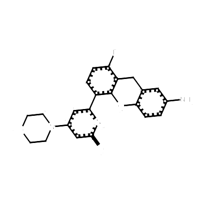 Nc1ccc2c(c1)Cc1c(F)ccc(-c3cc(N4CCOCC4)cc(=O)[nH]3)c1O2